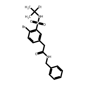 CCC(C)(C)NS(=O)(=O)c1cc(CC(=O)NCc2ccccc2)ccc1Br